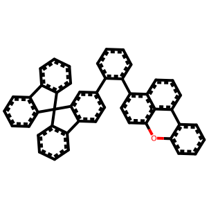 c1ccc2c(c1)Oc1ccc(-c3ccccc3-c3ccc4c(c3)C3(c5ccccc5-c5ccccc53)c3ccccc3-4)c3cccc-2c13